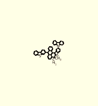 CC1(C)c2sc3ccc(-n4c5ccccc5c5ccccc54)cc3c2-c2c3ccccc3c(-c3ccc4c(c3)sc3ccccc34)c3cccc1c23